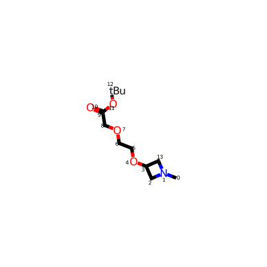 CN1CC(OCCOCC(=O)OC(C)(C)C)C1